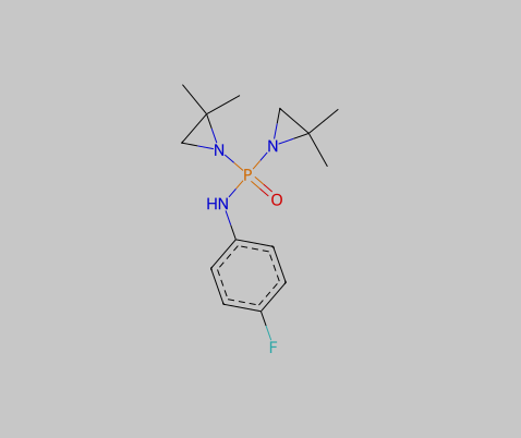 CC1(C)CN1P(=O)(Nc1ccc(F)cc1)N1CC1(C)C